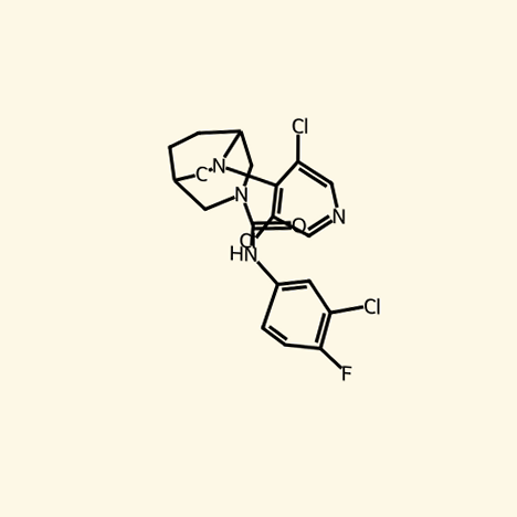 O=C(Nc1ccc(F)c(Cl)c1)N1CC2CCC(C1)N(c1c(Cl)cncc1Cl)C2